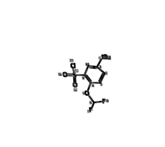 CC(C)(C)c1ccc(OC(F)F)c(S(=O)(=O)Cl)c1